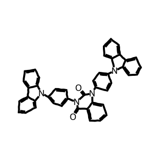 O=c1c2ccccc2n(-c2ccc(-n3c4ccccc4c4ccccc43)cc2)c(=O)n1-c1ccc(-n2c3ccccc3c3ccccc32)cc1